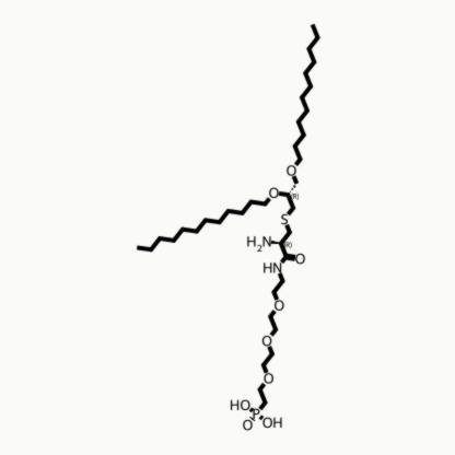 CCCCCCCCCCCCOC[C@H](CSC[C@H](N)C(=O)NCCOCCOCCOCCP(=O)(O)O)OCCCCCCCCCCCC